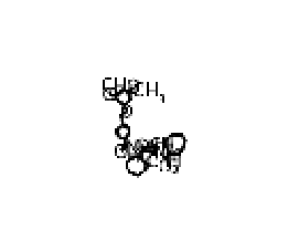 COc1cc(OC)cc(OCc2ccc(C(=O)N[C@H]3CCCCCC[C@H]3C(=O)C(C)(C)N3C(=O)[C@@H]4CCCCCC[C@@H]43)cc2)c1